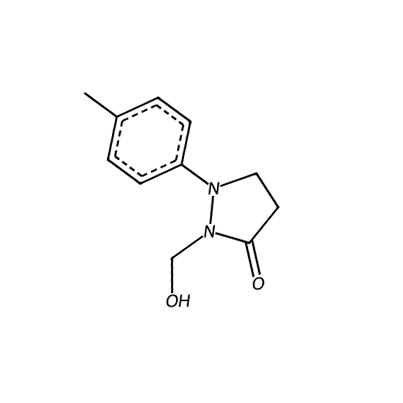 Cc1ccc(N2CCC(=O)N2CO)cc1